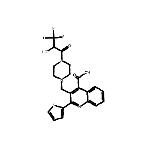 O=C(O)c1c(CN2CCN(C(=O)C(O)C(F)(F)F)CC2)c(-c2cccs2)nc2ccccc12